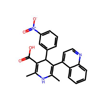 CC1=C(C(=O)O)C(c2cccc([N+](=O)[O-])c2)C(c2ccnc3ccccc23)=C(C)N1